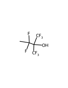 CC(F)(F)C(O)(C(F)(F)F)C(F)(F)F